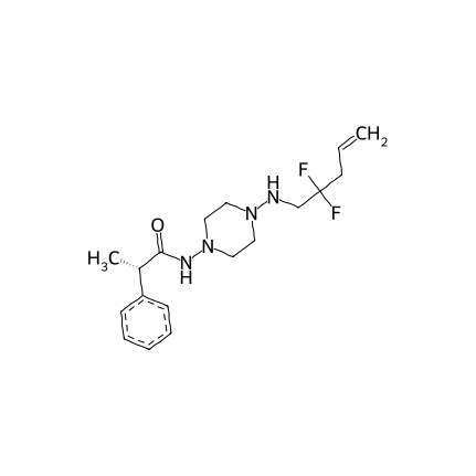 C=CCC(F)(F)CNN1CCN(NC(=O)[C@@H](C)c2ccccc2)CC1